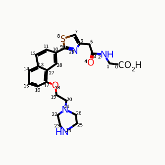 O=C(O)CNC(=O)Cc1csc(-c2ccc3cccc(OCCN4CCNCC4)c3c2)n1